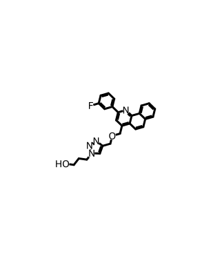 OCCCn1cc(COCc2cc(-c3cccc(F)c3)nc3c2ccc2ccccc23)nn1